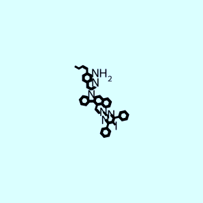 CC/C=C\c1ccc2cc(-n3c4ccccc4c4c5c6c(cccc6cc43)N(c3nc(-c4ccccc4)c(I)c(-c4ccccc4)n3)C=C5)cnc2c1N